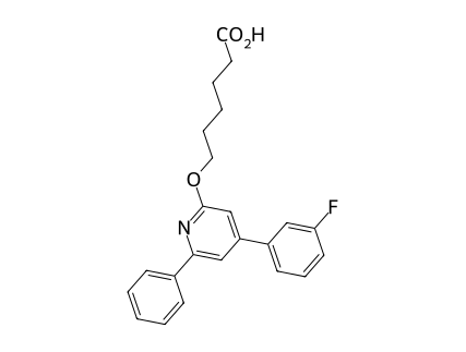 O=C(O)CCCCCOc1cc(-c2cccc(F)c2)cc(-c2ccccc2)n1